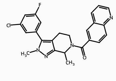 CC1c2nn(C)c(-c3cc(F)cc(Cl)c3)c2CCN1C(=O)c1ccc2ncccc2c1